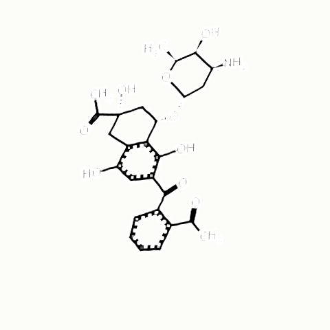 CC(=O)c1ccccc1C(=O)c1cc(O)c2c(c1O)[C@@H](O[C@H]1C[C@H](N)[C@H](O)[C@H](C)O1)C[C@](O)(C(C)=O)C2